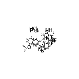 CC(C)Oc1cccc2ccc(-c3nnc4ccc([C@@H](N5CC[C@H](N)C5)C(F)(F)F)cn34)nc12.Cl.Cl